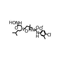 COc1cc(Cl)c(C)cc1NC(=O)NCC(C)(C)CC(=O)N(CCC(C)C)CC(=O)NO